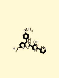 COc1ccc([C@H](NC(=O)c2cnc(-c3cccnn3)nc2O)c2ccc(C)nc2)cc1